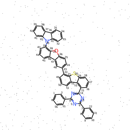 c1ccc(-c2nc(-c3ccccc3)nc(-c3cccc4sc5c(-c6ccc7oc8c(-n9c%10ccccc%10c%10ccccc%109)cccc8c7c6)cccc5c34)n2)cc1